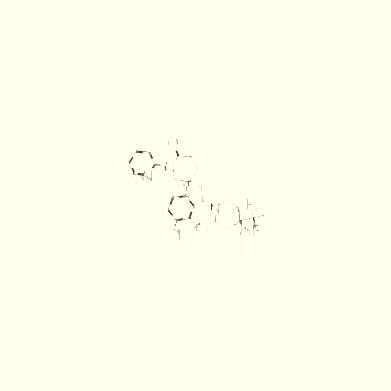 Cc1cccc(N2C[C@@](CCN3CCC(O)(C(F)(F)F)CC3)(c3ccc(Cl)c(Cl)c3)CCC2=O)n1